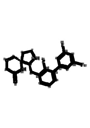 O=C1COC[C@@]2(CCN[C@H]2Cc2cccc(-c3cc(F)cc(F)c3)c2F)N1